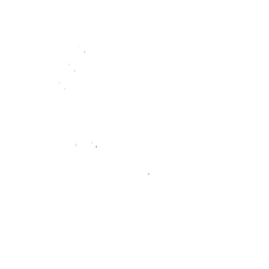 CCOC(=O)c1[nH]cc(-c2ccn(CCN=[N+]=[N-])n2)c1C